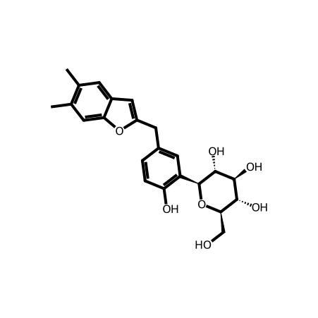 Cc1cc2cc(Cc3ccc(O)c([C@@H]4O[C@H](CO)[C@@H](O)[C@H](O)[C@H]4O)c3)oc2cc1C